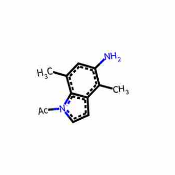 CC(=O)n1ccc2c(C)c(N)cc(C)c21